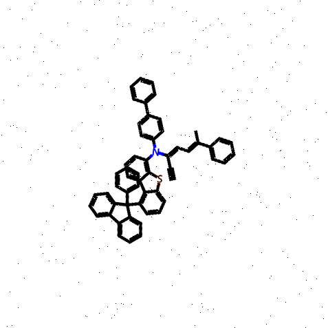 C#C/C(=C\C=C(/C)c1ccccc1)N(c1ccc(-c2ccccc2)cc1)c1cccc2c1sc1cccc(C3(c4ccccc4)c4ccccc4-c4ccccc43)c12